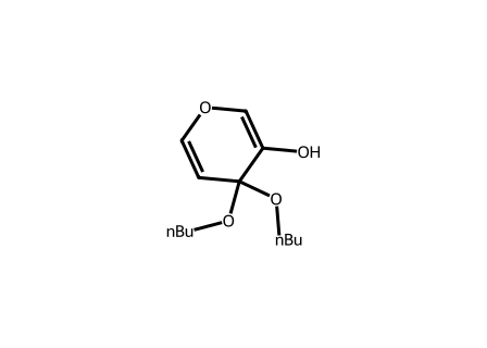 CCCCOC1(OCCCC)C=COC=C1O